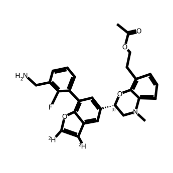 [2H]c1oc2c(-c3cccc(CN)c3F)cc([C@H]3CN(C)c4cccc(CCOC(C)=O)c4O3)cc2c1[2H]